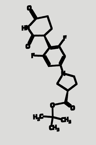 CC(C)(C)OC(=O)[C@@H]1CCN(c2cc(F)c([C@@H]3CCC(=O)NC3=O)c(F)c2)C1